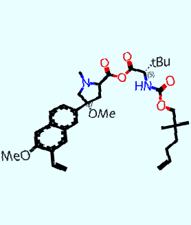 C=CCCC(C)(C)COC(=O)N[C@H](C(=O)OC(=O)C1C[C@@](OC)(c2ccc3cc(OC)c(C=C)cc3c2)CN1C)C(C)(C)C